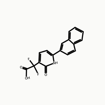 O=C(O)C(F)(F)c1ccc(-c2ccc3ccccc3c2)[nH]c1=O